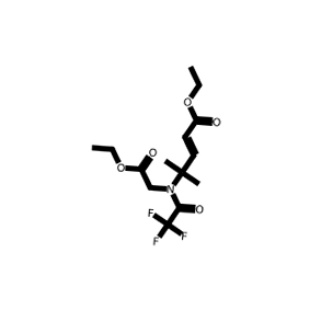 CCOC(=O)C=CC(C)(C)N(CC(=O)OCC)C(=O)C(F)(F)F